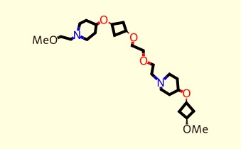 COCCN1CCC(O[C@H]2C[C@@H](OCCOCCN3CCC(O[C@H]4C[C@H](OC)C4)CC3)C2)CC1